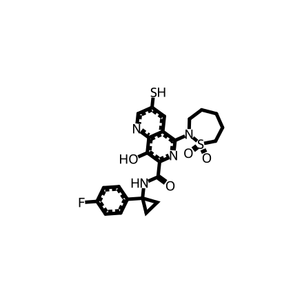 O=C(NC1(c2ccc(F)cc2)CC1)c1nc(N2CCCCCS2(=O)=O)c2cc(S)cnc2c1O